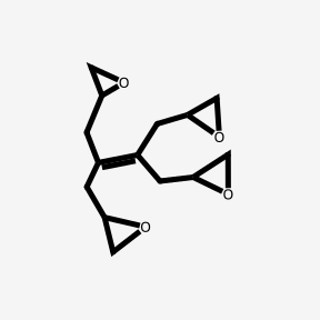 C1OC1CC(CC1CO1)=C(CC1CO1)CC1CO1